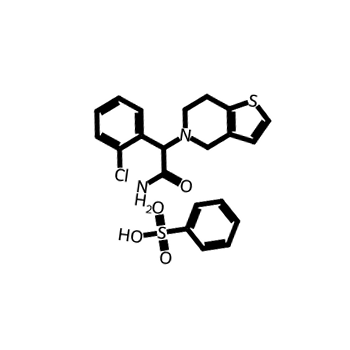 NC(=O)C(c1ccccc1Cl)N1CCc2sccc2C1.O=S(=O)(O)c1ccccc1